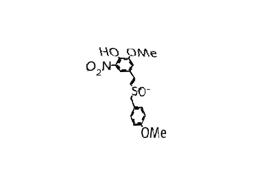 COc1ccc(C[S+]([O-])C=Cc2cc(OC)c(O)c([N+](=O)[O-])c2)cc1